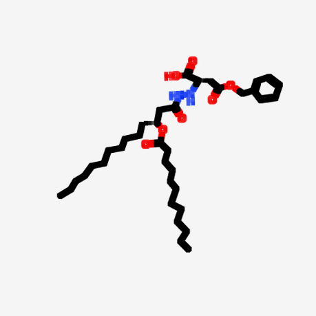 CCCCCCCCCCCC(=O)O[C@H](CCCCCCCCCCC)CC(=O)NN[C@@H](CC(=O)OCc1ccccc1)C(=O)O